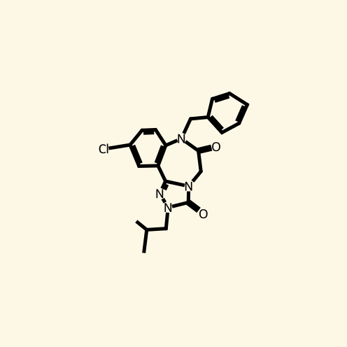 CC(C)Cn1nc2n(c1=O)CC(=O)N(Cc1ccccc1)c1ccc(Cl)cc1-2